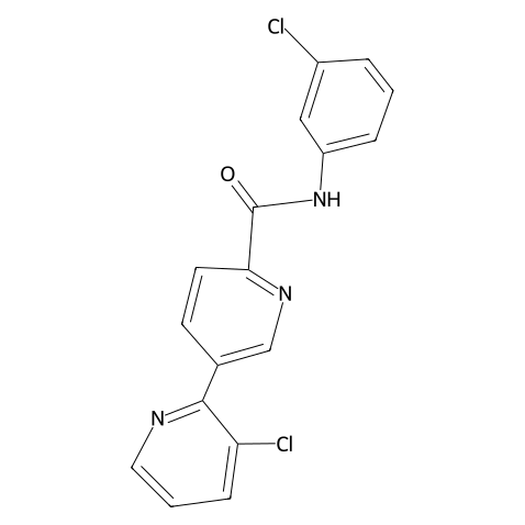 O=C(Nc1cccc(Cl)c1)c1ccc(-c2ncccc2Cl)cn1